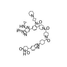 CC(C)n1cnc2cc(-c3ccc4c(c3)N([C@H]3C[C@@H](N5CCCCC5)C3)C(=O)C43CCN(C(=O)C4CCN(C(=O)C5CCC(n6cc7cc(C8CCC(=O)NC8=O)ccc7n6)CC5)CC4)CC3)nc(NC3CC3)c21